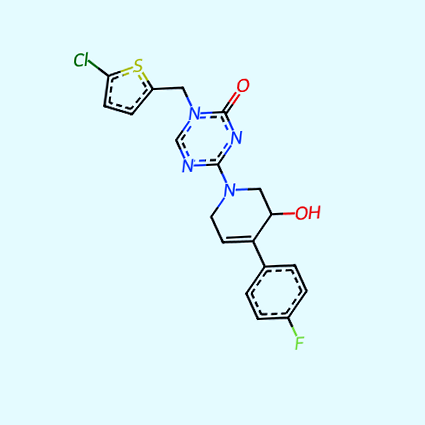 O=c1nc(N2CC=C(c3ccc(F)cc3)C(O)C2)ncn1Cc1ccc(Cl)s1